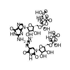 Nc1nc2c(ncn2[C@@H]2O[C@H](COP(=O)(O)OP(=O)(O)OP(=O)(O)O)[C@@H](O)[C@H]2O)c(=O)[nH]1.[N-]=[N+]=Nc1cn([C@@H]2O[C@H](COP(=O)(O)OP(=O)(O)O)[C@@H](O)[C@H]2O)c(=O)[nH]c1=O